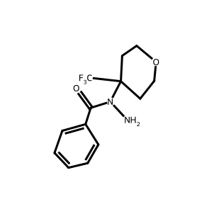 NN(C(=O)c1ccccc1)C1(C(F)(F)F)CCOCC1